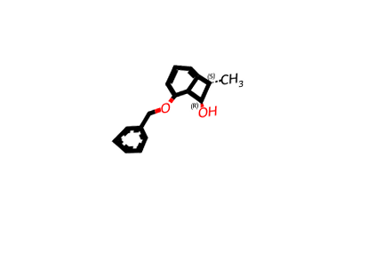 C[C@H]1C2=CC=CC(OCc3ccccc3)C2[C@@H]1O